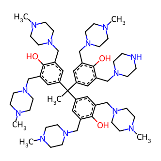 CN1CCN(Cc2cc(C(C)(c3cc(CN4CCN(C)CC4)c(O)c(CN4CCN(C)CC4)c3)c3cc(CN4CCN(C)CC4)c(O)c(CN4CCN(C)CC4)c3)cc(CN3CCNCC3)c2O)CC1